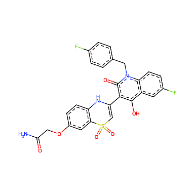 NC(=O)COc1ccc2c(c1)S(=O)(=O)C=C(c1c(O)c3cc(F)ccc3n(Cc3ccc(F)cc3)c1=O)N2